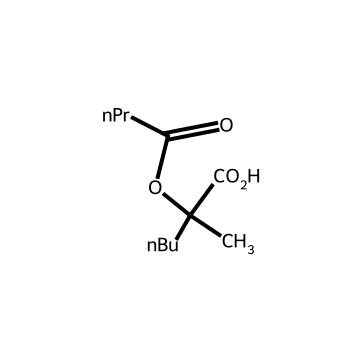 CCCCC(C)(OC(=O)CCC)C(=O)O